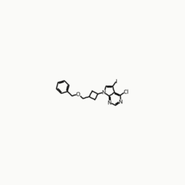 Clc1ncnc2c1c(I)cn2C1CC(COCc2ccccc2)C1